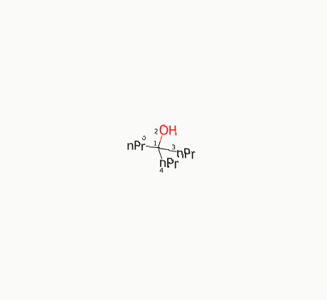 CCCC(O)(CCC)CCC